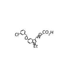 CCn1cc(C=NOCC(=O)O)c2cc(OCc3cccc(Cl)c3)ccc21